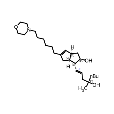 CCCC[C@](C)(O)C/C=C/[C@@H]1[C@H]2CC(CCCCCCN3CCOCC3)=C[C@H]2C[C@H]1O